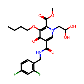 CCCCOc1c(C(=O)OC)n(CC(O)O)cc(C(=O)NCc2ccc(F)cc2F)c1=O